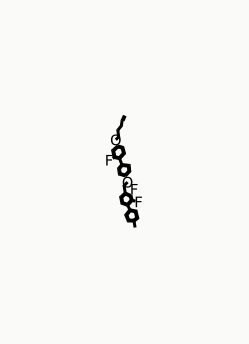 C=CCCCOc1ccc(-c2ccc(OCc3ccc(-c4ccc(C)cc4)c(F)c3F)cc2)c(F)c1